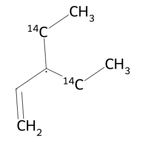 C=C[C]([14CH2]C)[14CH2]C